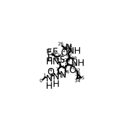 CCNC(=O)NC1CC(C2NC(C(F)(F)F)CS2)C(C2C=C(C3NN=C(C)O3)CNC2OCC2CC2)C=N1